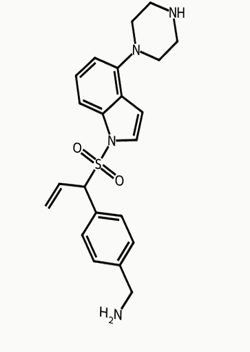 C=CC(c1ccc(CN)cc1)S(=O)(=O)n1ccc2c(N3CCNCC3)cccc21